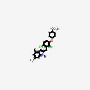 CCOC(=O)[C@H]1CC[C@@H](Oc2ccc(Cl)c(Cc3cc4c(C)cc(C(F)(F)F)cc4n3C)c2Cl)CC1